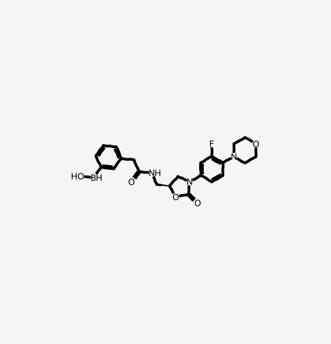 O=C(Cc1cccc(BO)c1)NC[C@H]1CN(c2ccc(N3CCOCC3)c(F)c2)C(=O)O1